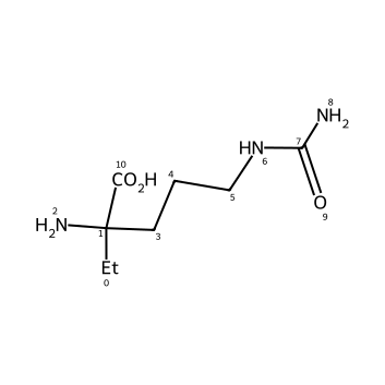 CCC(N)(CCCNC(N)=O)C(=O)O